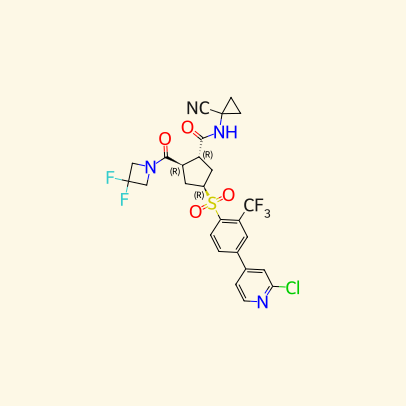 N#CC1(NC(=O)[C@@H]2C[C@@H](S(=O)(=O)c3ccc(-c4ccnc(Cl)c4)cc3C(F)(F)F)C[C@H]2C(=O)N2CC(F)(F)C2)CC1